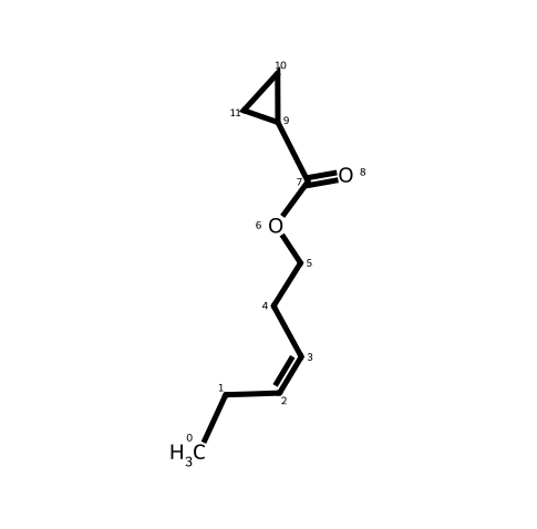 CC/C=C\CCOC(=O)C1CC1